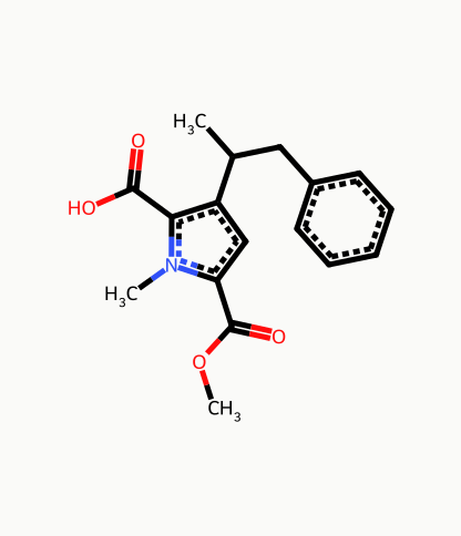 COC(=O)c1cc(C(C)Cc2ccccc2)c(C(=O)O)n1C